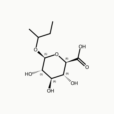 CCC(C)O[C@H]1O[C@@H](C(=O)O)[C@H](O)[C@@H](O)[C@@H]1O